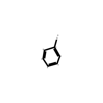 Ic1[c]c[c]cc1